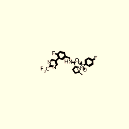 C[C@H]1CC[C@@H](C(=O)NCc2ccc(F)c(-c3cnc(C(F)(F)F)nc3)c2)N1S(=O)(=O)c1ccc(F)cc1